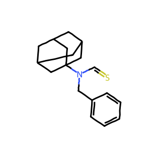 S=CN(Cc1ccccc1)C12CC3CC(CC(C3)C1)C2